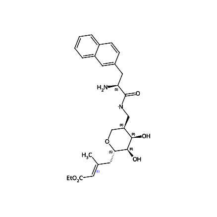 CCOC(=O)/C=C(\C)C[C@@H]1OC[C@@H](C[N]C(=O)[C@@H](N)Cc2ccc3ccccc3c2)[C@@H](O)[C@H]1O